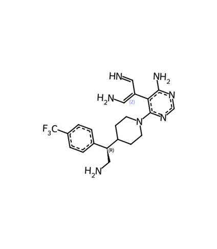 N=C/C(=C\N)c1c(N)ncnc1N1CCC([C@@H](CN)c2ccc(C(F)(F)F)cc2)CC1